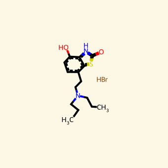 Br.CCCN(CCC)CCc1ccc(O)c2[nH]c(=O)sc12